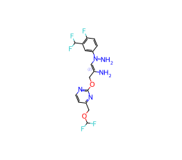 N/C(=C\N(N)c1ccc(F)c(C(F)F)c1)COc1nccc(COC(F)F)n1